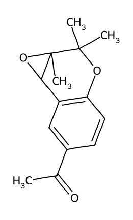 CC(=O)c1ccc2c(c1)C1OC1(C)C(C)(C)O2